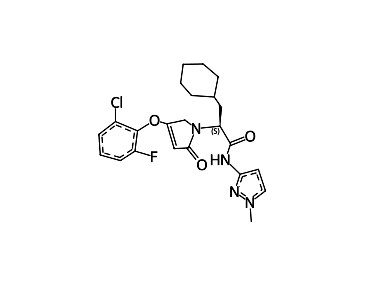 Cn1ccc(NC(=O)[C@H](CC2CCCCC2)N2CC(Oc3c(F)cccc3Cl)=CC2=O)n1